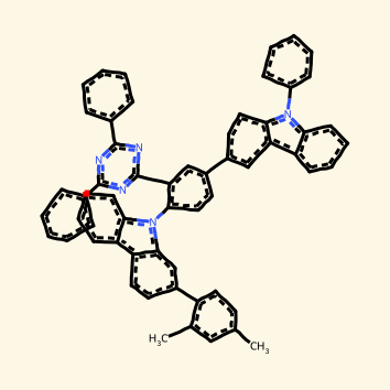 Cc1ccc(-c2ccc3c4ccccc4n(-c4ccc(-c5ccc6c(c5)c5ccccc5n6-c5ccccc5)cc4-c4nc(-c5ccccc5)nc(-c5ccccc5)n4)c3c2)c(C)c1